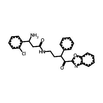 NC(CC(=O)NCCC(C(=O)c1nc2ccccc2o1)c1ccccc1)c1ccccc1Cl